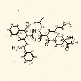 CC(C)C[C@@H](NC(=O)[C@@H](C(=O)C[C@@H](N)c1ccccc1)C(N)c1ccccc1)C(=O)[C@@H](CCCCN)C(=O)N1CCC(N)(C(=O)O)CC1